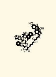 C[C@H](CCC(=O)NCCCC[C@H](NC(=O)[C@@H](Cc1ccccc1)NC(=O)[C@@H](Cc1ccc2ccccc2c1)NC(=O)[C@H](Cc1cnc[nH]1)NC(=O)C(C)(C)N)C(N)=O)[C@H]1CC[C@H]2[C@@H]3[C@H](O)C[C@@H]4C[C@H](O)CC[C@]4(C)[C@H]3C[C@H](O)[C@]12C